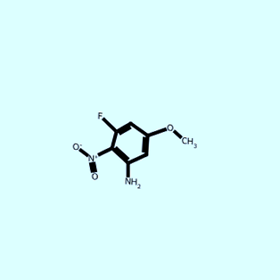 COc1cc(N)c([N+](=O)[O-])c(F)c1